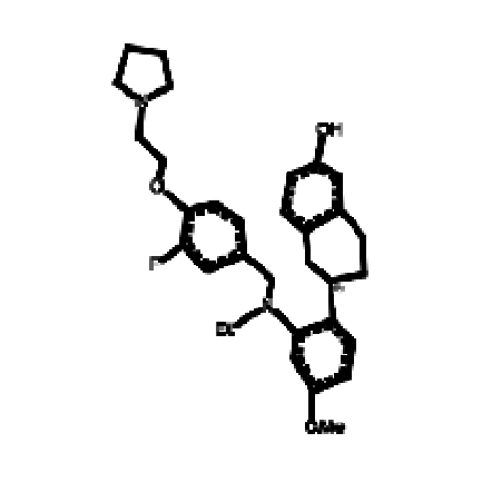 CCN(Cc1ccc(OCCN2CCCC2)c(F)c1)c1cc(OC)ccc1[C@@H]1CCc2cc(O)ccc2C1